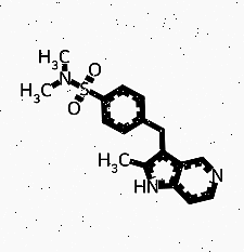 Cc1[nH]c2ccncc2c1Cc1ccc(S(=O)(=O)N(C)C)cc1